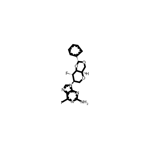 Nc1nc(I)c2ncn([C@@H]3CO[C@@H]4CO[C@@H](c5ccccc5)OC4[C@H]3F)c2n1